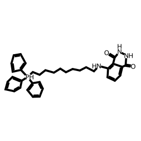 O=c1[nH][nH]c(=O)c2c(NCCCCCCCCCC[PH](c3ccccc3)(c3ccccc3)c3ccccc3)cccc12